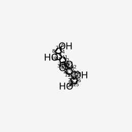 Cc1c(-c2cc(O)ccc2O)ccc(S(=O)(=O)c2ccc(-c3cc(O)ccc3O)c(C)c2C)c1C